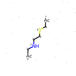 CC(=O)CNCCSCC(C)=O